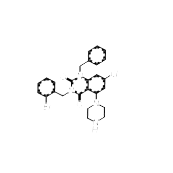 O=c1c2c(N3CCNCC3)cc(Cl)cc2n(Cc2ccccc2)c(=O)n1Cc1ccccc1Br